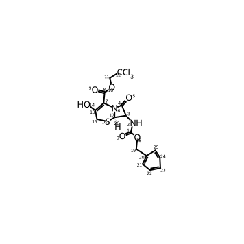 O=C(NC1C(=O)N2C(C(=O)OCC(Cl)(Cl)Cl)=C(O)CS[C@H]12)OCc1ccccc1